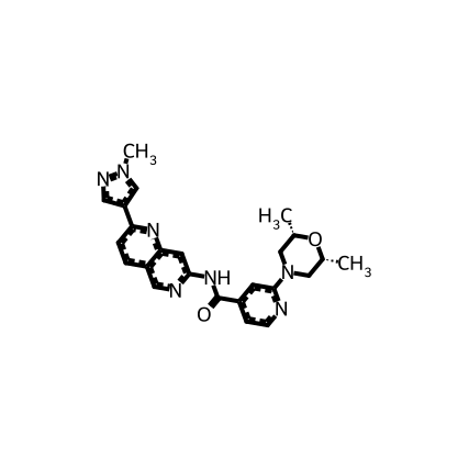 C[C@@H]1CN(c2cc(C(=O)Nc3cc4nc(-c5cnn(C)c5)ccc4cn3)ccn2)C[C@H](C)O1